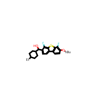 CCCCOc1ccc2c(sc3c(F)c(C(O)C4CCC(CC)CC4)ccc32)c1F